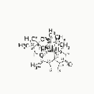 CC(OC[C@H](C)C(C)(C)O[Si](C)(C)C(C)(C)C)C1CCC2C(=O)CC[C@@H](C)C21